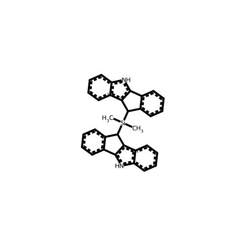 C[Si](C)(C1c2ccccc2-c2[nH]c3ccccc3c21)C1c2ccccc2-c2[nH]c3ccccc3c21